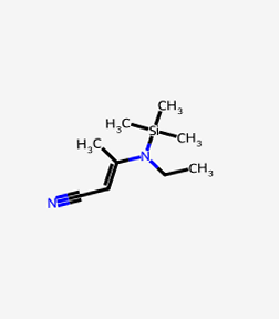 CCN(C(C)=CC#N)[Si](C)(C)C